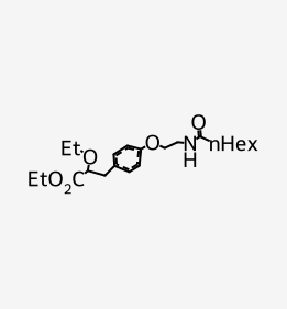 CCCCCCC(=O)NCCOc1ccc(CC(OCC)C(=O)OCC)cc1